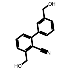 N#Cc1c(CO)cccc1-c1cccc(CO)c1